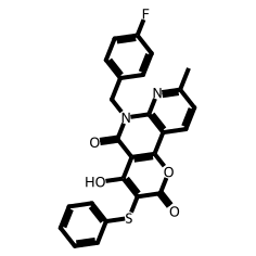 Cc1ccc2c3oc(=O)c(Sc4ccccc4)c(O)c3c(=O)n(Cc3ccc(F)cc3)c2n1